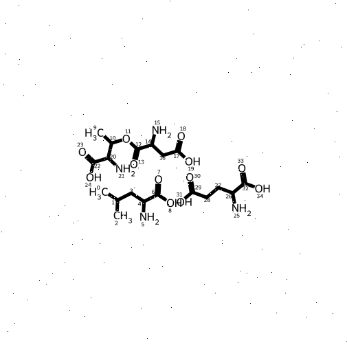 CC(C)CC(N)C(=O)O.CC(OC(=O)C(N)CC(=O)O)C(N)C(=O)O.NC(CCC(=O)O)C(=O)O